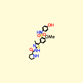 COc1ccc(-c2sc(NC(=O)C3CCCCN3)nc2C)cc1S(=O)(=O)Nc1ccc(O)cc1